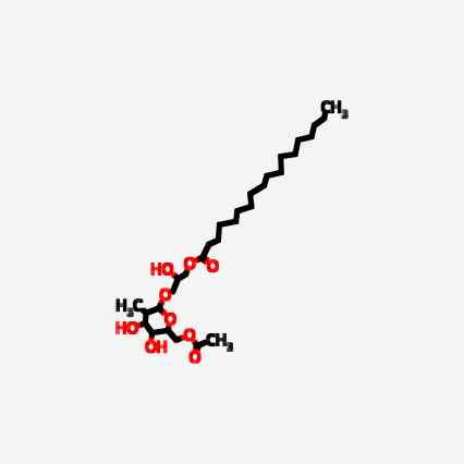 CCCCCCCCCCCCCCCCCC(=O)OCC(O)COC1OC(COC(C)=O)C(O)C(O)C1C